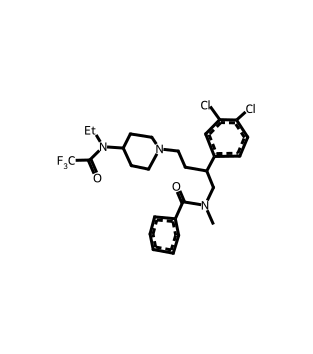 CCN(C(=O)C(F)(F)F)C1CCN(CCC(CN(C)C(=O)c2ccccc2)c2ccc(Cl)c(Cl)c2)CC1